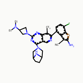 CCN(CC)C1CN(c2nc(N3CC4CCC(C3)N4)c3cnc(-c4ccc(F)c5sc(N)c(C#N)c45)c(C(F)(F)F)c3n2)C1